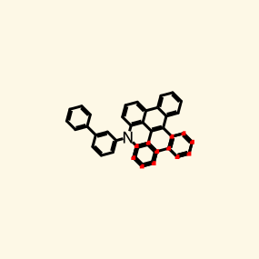 c1ccc(-c2cccc(N(c3cccc(-c4ccccc4)c3)c3cccc4c3c(-c3ccccc3)c(-c3ccccc3)c3ccccc34)c2)cc1